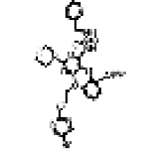 COc1ccccc1Oc1c(NS(=O)(=O)NCc2ccccc2)nc(N2CCCCC2)nc1OCCOc1ncc(Br)cn1